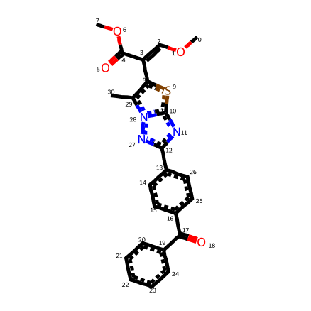 CO/C=C(/C(=O)OC)c1sc2nc(-c3ccc(C(=O)c4ccccc4)cc3)nn2c1C